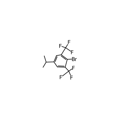 CC(C)c1cc(C(F)(F)F)c(Br)c(C(F)(F)F)c1